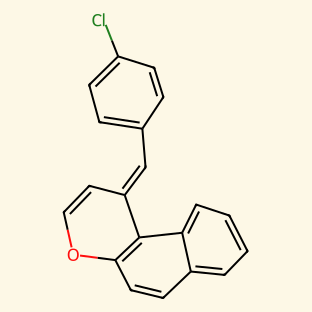 Clc1ccc(C=C2C=COc3ccc4ccccc4c32)cc1